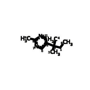 CCC(C)(C)c1cnc(C)nc1